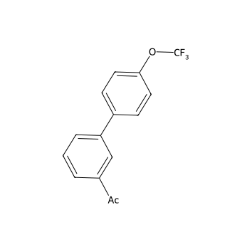 CC(=O)c1cccc(-c2ccc(OC(F)(F)F)cc2)c1